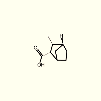 C[C@@H]1[C@@H]2CCC(C2)[C@@H]1C(=O)O